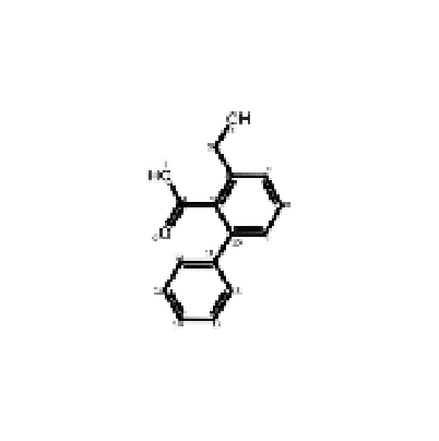 O=C(O)c1c(CO)cccc1-c1ccccc1